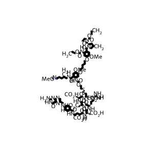 C=CCOC(=O)Nc1cc(OCCCCCOc2cc(NC(=O)OCCSSC[C@H](NC(=O)[C@H](CC(=O)O)NC(=O)[C@H](CC(=O)O)NC(=O)[C@H](CCCNC(=N)N)NC(=O)[C@H](CC(=O)O)NC(=O)CC[C@H](NC(=O)c3ccc(NCc4cnc5nc(N)[nH]c(=O)c5n4)cc3)C(=O)O)C(=O)O)c(C(=O)NCC(=C)CC/C=N/OC)cc2OC)c(OC)cc1C(=O)N1CC(=C)C[C@H]1C1OCCN1C(=O)OCC=C